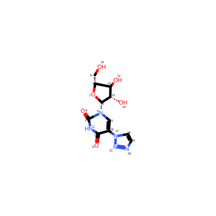 O=c1[nH]c(=O)n([C@@H]2O[C@H](CO)C(O)[C@@H]2O)cc1-n1ccnn1